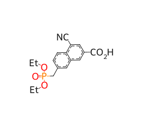 CCOP(=O)(Cc1ccc2c(C#N)cc(C(=O)O)cc2c1)OCC